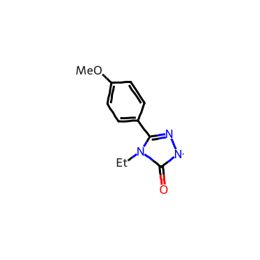 CCN1C(=O)[N]N=C1c1ccc(OC)cc1